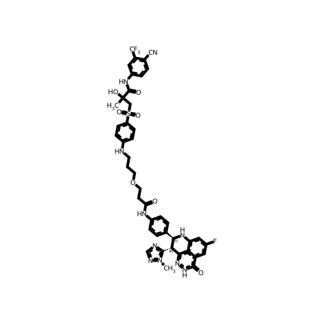 Cn1ncnc1[C@H]1c2n[nH]c(=O)c3cc(F)cc(c23)N[C@@H]1c1ccc(NC(=O)CCOCCCNc2ccc(S(=O)(=O)CC(C)(O)C(=O)Nc3ccc(C#N)c(C(F)(F)F)c3)cc2)cc1